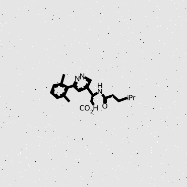 Cc1cccc(C)c1-c1cc(C(CC(=O)O)NC(=O)CCC(C)C)cnn1